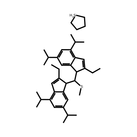 C1CC[SiH2]C1.CCC1=Cc2c(C(C)C)cc(C(C)C)cc2C1[CH]([Ti][CH3])C1C(CC)=Cc2c(C(C)C)cc(C(C)C)cc21